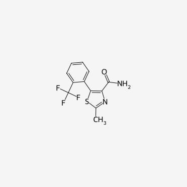 Cc1nc(C(N)=O)c(-c2ccccc2C(F)(F)F)s1